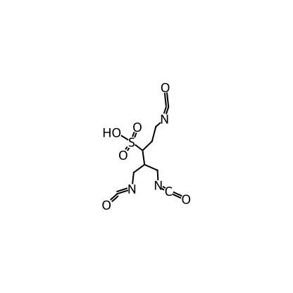 O=C=NCCC(C(CN=C=O)CN=C=O)S(=O)(=O)O